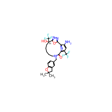 CC1(C)Cc2cc(CN3CCCCC[C@](O)(C(F)(F)F)c4nnc(o4)-c4nc(c(C(F)(F)F)cc4N)C3=O)ccc2O1